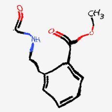 COC(=O)c1ccccc1CN[C]=O